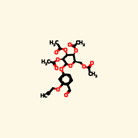 C#CCOc1cc(OC2O[C@H](COC(C)=O)[C@@H](OC(C)=O)[C@H](OC(C)=O)[C@H]2OC(C)=O)ccc1C=O